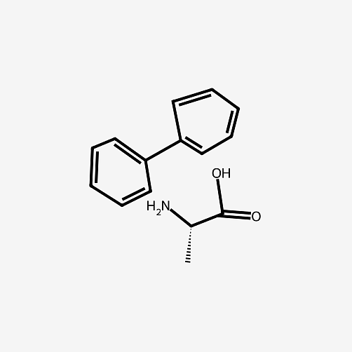 C[C@H](N)C(=O)O.c1ccc(-c2ccccc2)cc1